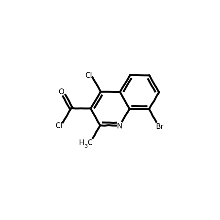 Cc1nc2c(Br)cccc2c(Cl)c1C(=O)Cl